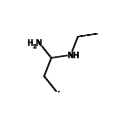 [CH2]CC(N)NCC